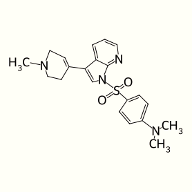 CN1CC=C(c2cn(S(=O)(=O)c3ccc(N(C)C)cc3)c3ncccc23)CC1